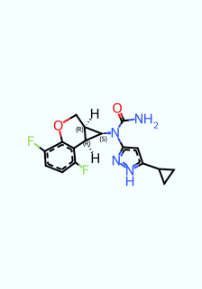 NC(=O)N(c1cc(C2CC2)[nH]n1)[C@@H]1[C@@H]2COc3c(F)ccc(F)c3[C@@H]21